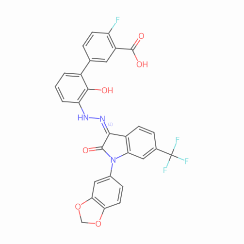 O=C(O)c1cc(-c2cccc(N/N=C3\C(=O)N(c4ccc5c(c4)OCO5)c4cc(C(F)(F)F)ccc43)c2O)ccc1F